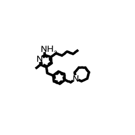 CCCCCc1cc(Cc2ccc(CN3CCCCCC3)cc2)c(C)nc1N